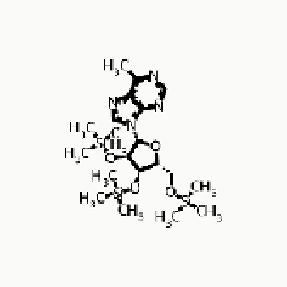 Cc1ncnc2c1ncn2[C@@H]1O[C@H](CO[Si](C)(C)C)[C@@H](O[Si](C)(C)C)[C@H]1O[Si](C)(C)C